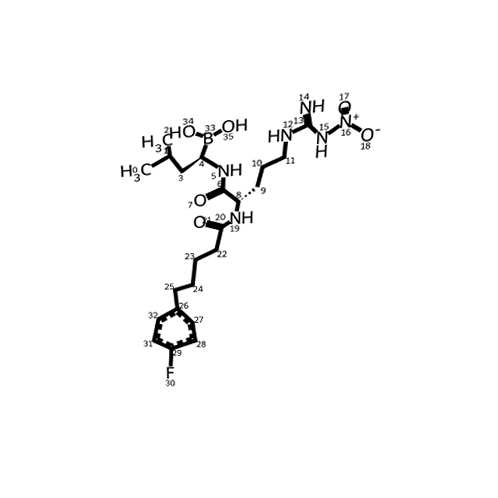 CC(C)C[C@H](NC(=O)[C@H](CCCNC(=N)N[N+](=O)[O-])NC(=O)CCCCc1ccc(F)cc1)B(O)O